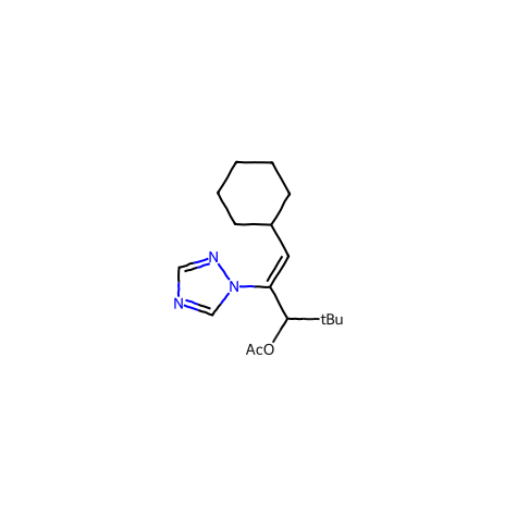 CC(=O)OC(C(=CC1CCCCC1)n1cncn1)C(C)(C)C